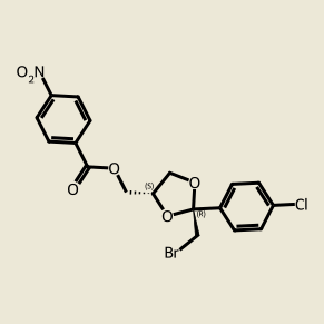 O=C(OC[C@@H]1CO[C@](CBr)(c2ccc(Cl)cc2)O1)c1ccc([N+](=O)[O-])cc1